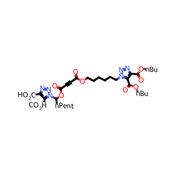 CCCCCC(OC(=O)C#CC(=O)OCCCCCCn1nnc(C(=O)OCCCC)c1C(=O)OCCCC)n1nnc(C(=O)O)c1C(=O)O